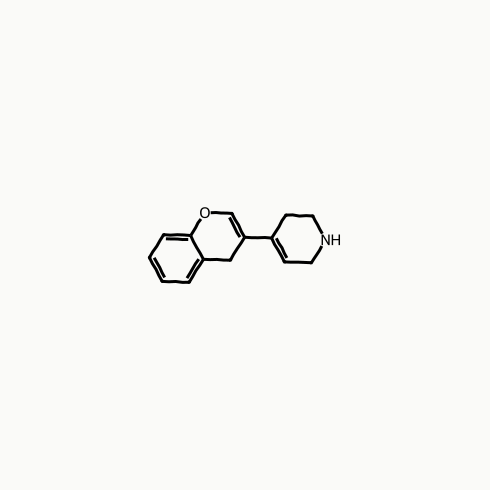 C1=C(C2=COc3ccccc3C2)CCNC1